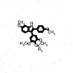 COc1ccc(-c2[nH]c3cc(OC)ccc3c2-c2cc(OC)c(OC)c(OC)c2)cc1